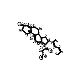 C/C=C\C=C(/C)[C@H]1CC2C3CCC4=CC(=O)CC[C@]4(C)C3=CC[C@]2(C)[C@H]1C(=O)CN=O